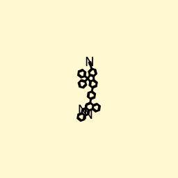 N#Cc1ccc2c(c1)C(c1ccccc1)(c1ccccc1)c1cc(-c3ccc(-c4cc5nc6ccccc6nc5c5ccccc45)cc3)ccc1-2